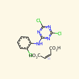 Clc1nc(Cl)nc(Nc2ccccc2Cl)n1.O=C(O)/C=C\C(=O)O